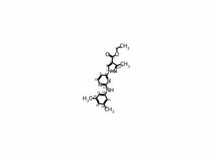 CCOC(=O)c1cn(-c2ccnc(Nc3cc(C)cc(C)c3)n2)nc1C